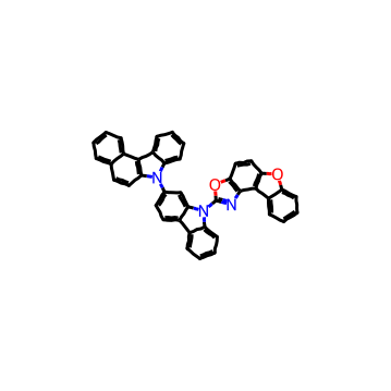 c1ccc2c(c1)ccc1c2c2ccccc2n1-c1ccc2c3ccccc3n(-c3nc4c(ccc5oc6ccccc6c54)o3)c2c1